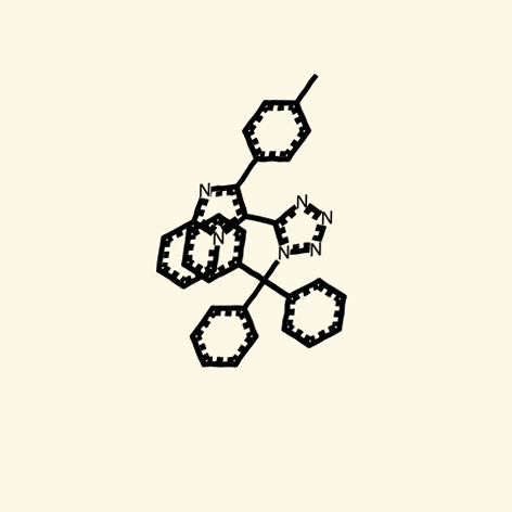 Cc1ccc(-c2nc3ccccn3c2-c2nnnn2C(c2ccccc2)(c2ccccc2)c2ccccc2)cc1